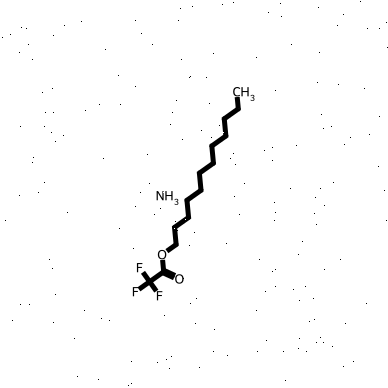 CCCCCCCCCCCCOC(=O)C(F)(F)F.N